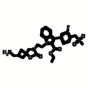 CCOC(=O)c1c(-c2ccc(CS(C)(=O)=O)c(F)c2)c2ccccc2n1CCN1CC2(CC(CN)C2)OC1=O